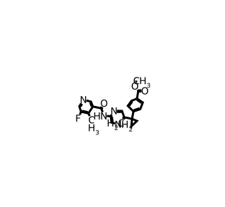 C=C(/C=N\C(=C/N)NC(=O)c1cncc(F)c1C)C1(c2ccc(C(=O)OC)cc2)CC1